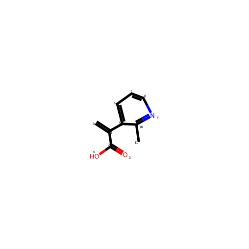 C=C(C(=O)O)c1cccnc1C